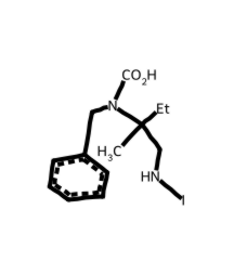 CCC(C)(CNI)N(Cc1ccccc1)C(=O)O